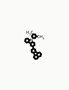 Cc1cc(C)cc(-n2c3ccccc3c3cc(-c4ccc5c(c4)-c4cccc6cccc-5c46)ccc32)c1